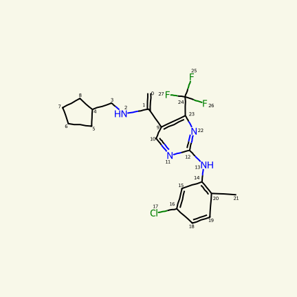 C=C(NCC1CCCC1)c1cnc(Nc2cc(Cl)ccc2C)nc1C(F)(F)F